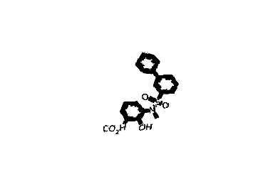 CN(c1cccc(C(=O)O)c1O)S(=O)(=O)c1cccc(-c2ccccc2)c1